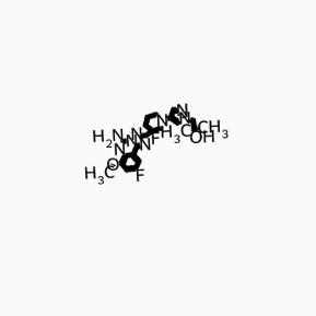 COc1cc(F)cc2c1nc(N)n1nc([C@]3(F)CCCN(c4cnn(CC(C)(C)O)c4)C3)nc21